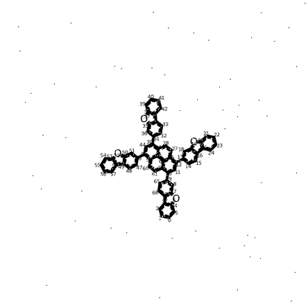 c1ccc2c(c1)oc1cc(-c3cc(-c4ccc5c(c4)oc4ccccc45)c4ccc5c(-c6ccc7c(c6)oc6ccccc67)cc(-c6ccc7c(c6)oc6ccccc67)c6ccc3c4c65)ccc12